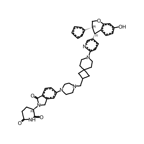 O=C1CC[C@@H](N2Cc3cc(N4CCN(CC5CC6(CCN(c7ccc([C@H]8c9ccc(O)cc9OC[C@H]8c8ccccc8)cn7)CC6)C5)CC4)ccc3C2=O)C(=O)N1